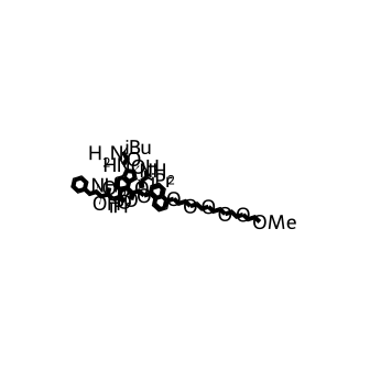 CC[C@H](C)[C@H](N)C(=O)N[C@H]1c2ccc(C(=O)C(C(C)C)C(O)[C@H](O)[C@@H](N)CC3CCCCC3)c(C(=O)COc3cccc4c(OCCOCCOCCOCCOCCOC)cccc34)c2[C@@H](C(=O)[C@@H](N)C(C)C)[C@H]1O